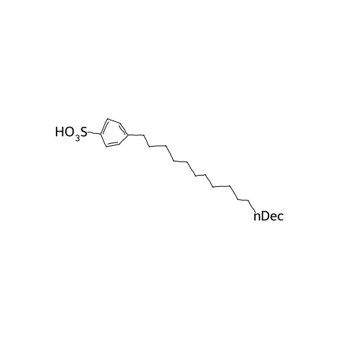 CCCCCCCCCCCCCCCCCCCCCc1ccc(S(=O)(=O)O)cc1